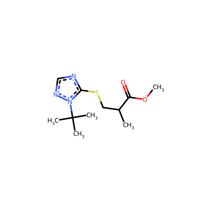 COC(=O)C(C)CSc1ncnn1C(C)(C)C